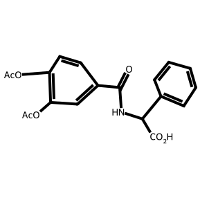 CC(=O)Oc1ccc(C(=O)NC(C(=O)O)c2ccccc2)cc1OC(C)=O